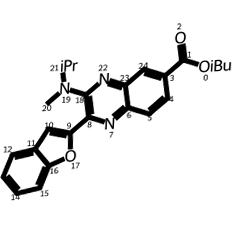 CC(C)COC(=O)c1ccc2nc(-c3cc4ccccc4o3)c(N(C)C(C)C)nc2c1